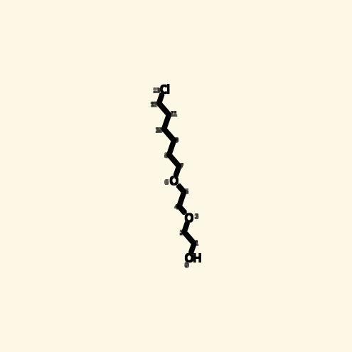 OCCOCCOCCCCCCCl